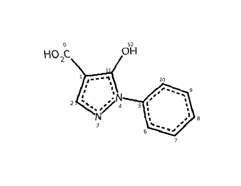 O=C(O)c1[c]nn(-c2ccccc2)c1O